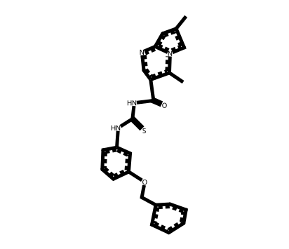 Cc1cc2ncc(C(=O)NC(=S)Nc3cccc(OCc4ccccc4)c3)c(C)n2c1